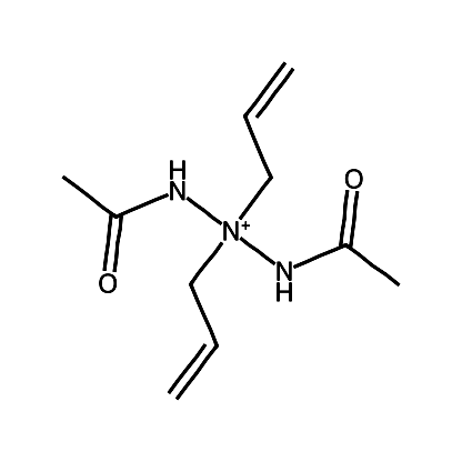 C=CC[N+](CC=C)(NC(C)=O)NC(C)=O